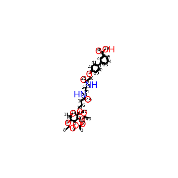 CC(=O)OC1C(OC(C)=O)[C@H](C)OC(OCCCC(=O)NCCNC(=O)COc2ccc(-c3cccc(C(=O)O)c3)cc2)[C@H]1OC(C)=O